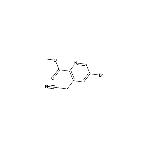 COC(=O)c1ncc(Br)cc1CC#N